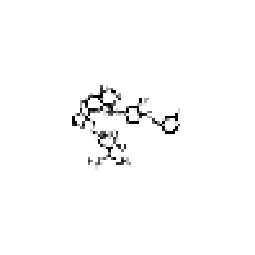 CC(C)C(CNCCC1(c2cc3c(Nc4ccc(OCc5cccc(F)c5)c(Br)c4)ncnc3cn2)CC=CO1)=S(=O)=O